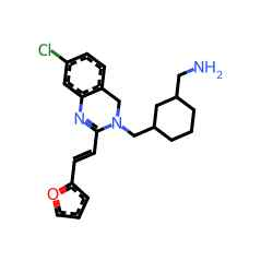 NCC1CCCC(CN2Cc3ccc(Cl)cc3N=C2C=Cc2ccco2)C1